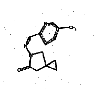 O=C1CC2(CC2)CN1/N=C\c1ccc(C(F)(F)F)cn1